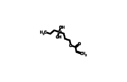 C=CC(=O)OCCC[N+](O)(O)CCC